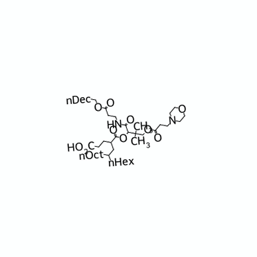 CCCCCCCCCCCOC(=O)CCNC(=O)[C@H](OC(=O)C(CCC(=O)O)CC(CCCCCC)CCCCCCCC)C(C)(C)COC(=O)CCN1CCOCC1